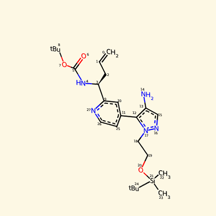 C=CC[C@H](NC(=O)OC(C)(C)C)c1cc(-c2c(N)cnn2CCO[Si](C)(C)C(C)(C)C)ccn1